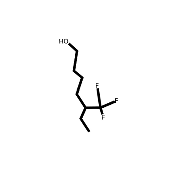 CCC(CCCCO)C(F)(F)F